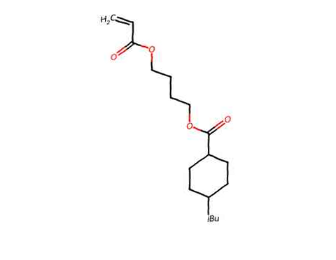 C=CC(=O)OCCCCOC(=O)C1CCC(C(C)CC)CC1